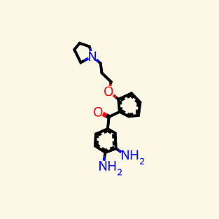 Nc1ccc(C(=O)c2ccccc2OCCCN2CCCC2)cc1N